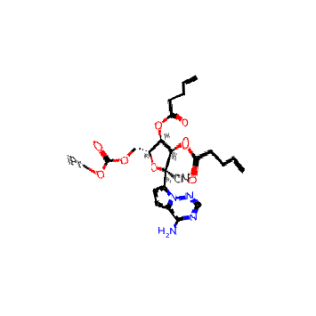 C=CCCC(=O)O[C@H]1[C@@H](OC(=O)CCC=C)[C@](C#N)(c2ccc3c(N)ncnn23)O[C@@H]1COC(=O)OC(C)C